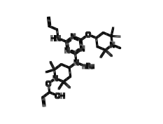 C=CCNc1nc(OC2CC(C)(C)N(C)C(C)(C)C2)nc(N(CCCC)C2CC(C)(C)N(OC(O)C=C)C(C)(C)C2)n1